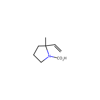 C=CC1(C)CCCN1C(=O)O